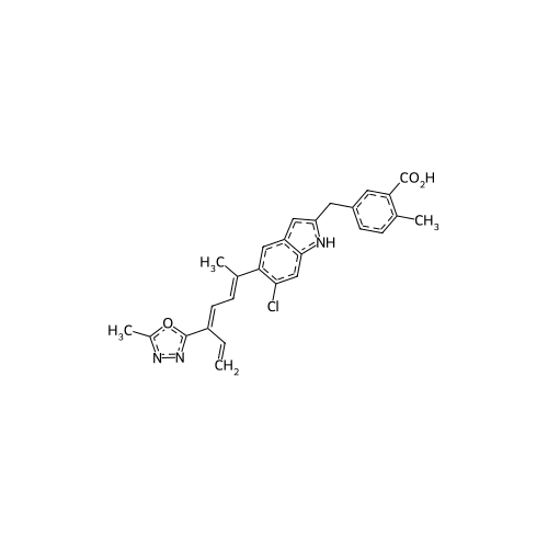 C=C/C(=C\C=C(/C)c1cc2cc(Cc3ccc(C)c(C(=O)O)c3)[nH]c2cc1Cl)c1nnc(C)o1